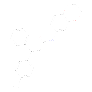 CC(C)(C)c1ccc(C(CC(=O)Nc2ccc3c(c2)OCCO3)c2ccccc2)cc1